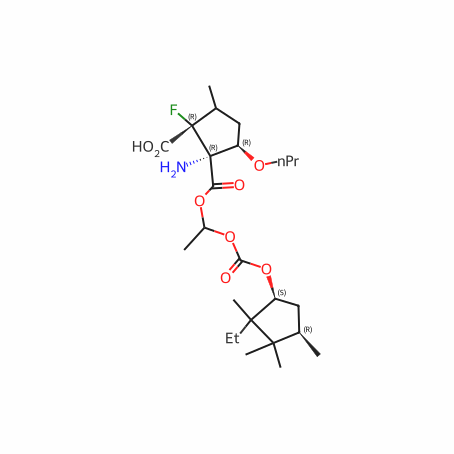 CCCO[C@@H]1CC(C)[C@](F)(C(=O)O)[C@]1(N)C(=O)OC(C)OC(=O)O[C@H]1C[C@@H](C)C(C)(C)C1(C)CC